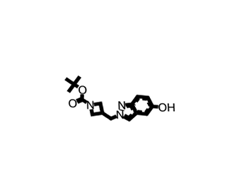 CC(C)(C)OC(=O)N1CC(Cn2cc3cc(O)ccc3n2)C1